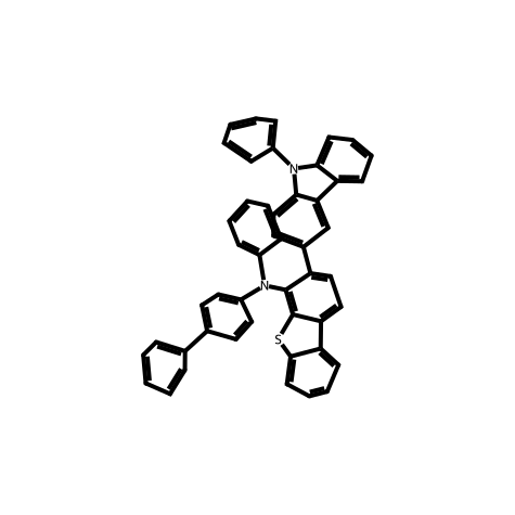 c1ccc(-c2ccc(N(c3ccccc3)c3c(-c4ccc5c(c4)c4ccccc4n5-c4ccccc4)ccc4c3sc3ccccc34)cc2)cc1